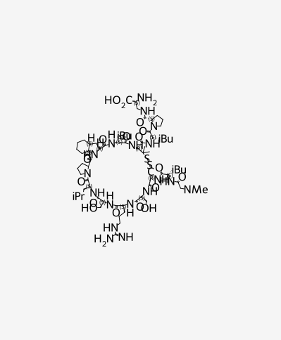 CCC(C)[C@H](NC(=O)CNC)C(=O)N[C@H]1CSSC(C)(C)[C@@H](C(=O)N[C@H](C(=O)N2CCC[C@H]2C(=O)NC[C@H](N)C(=O)O)C(C)CC)NC(=O)[C@H]([C@@H](C)CC)NC(=O)[C@H]2C[C@@H]3CCCC[C@@H]3N2C(=O)C2CCCN2C(=O)[C@H](CC(C)C)NC(=O)[C@H](CO)NC(=O)[C@H](CCCNC(=N)N)NC(=O)[C@H](CO)NC1=O